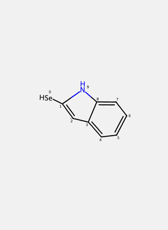 [SeH]c1[c]c2ccccc2[nH]1